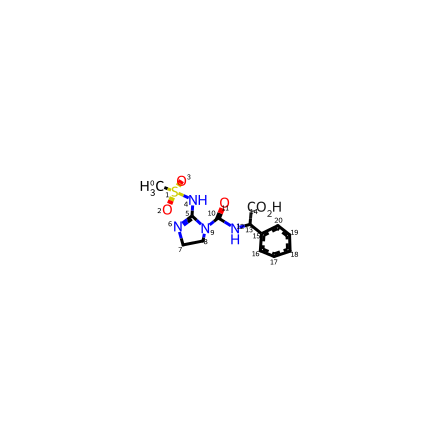 CS(=O)(=O)NC1=NCCN1C(=O)NC(C(=O)O)c1ccccc1